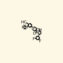 C#Cc1ccc(N2CCC3(CC2)O[C@@H]2CC[C@@H](c4cc(F)cc(F)c4)N2C3=O)cc1-n1ccnn1